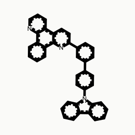 c1cc(-c2ccc(-n3c4ccccc4c4ccccc43)cc2)cc(-c2ccc3c4cccnc4c4ccccc4c3n2)c1